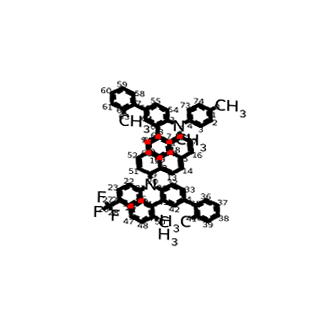 Cc1ccc(N(C2=C3C=CC4=C5C(=CC=C(C=C2)C35)C(N(c2ccc(C(F)(F)F)cc2)c2ccc(-c3ccccc3C)cc2-c2ccccc2C)C=C4)c2ccc(-c3ccccc3C)cc2-c2ccccc2C)cc1